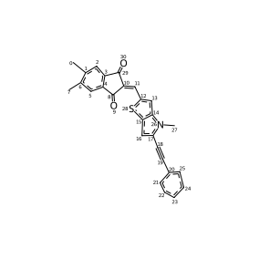 Cc1cc2c(cc1C)C(=O)C(=Cc1cc3c(cc(C#Cc4ccccc4)n3C)s1)C2=O